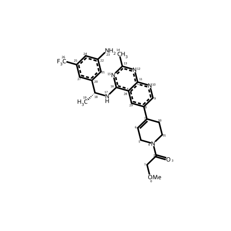 COCC(=O)N1CC=C(c2cnc3nc(C)nc(N[C@H](C)c4cc(N)cc(C(F)(F)F)c4)c3c2)CC1